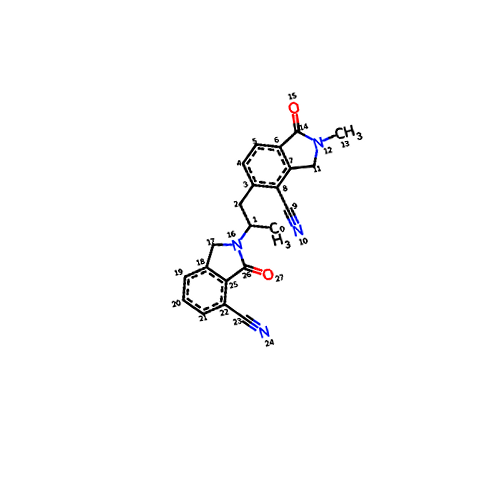 CC(Cc1ccc2c(c1C#N)CN(C)C2=O)N1Cc2cccc(C#N)c2C1=O